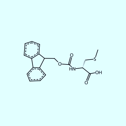 CSC[C@@H](NC(=O)OCC1c2ccccc2-c2ccccc21)C(=O)O